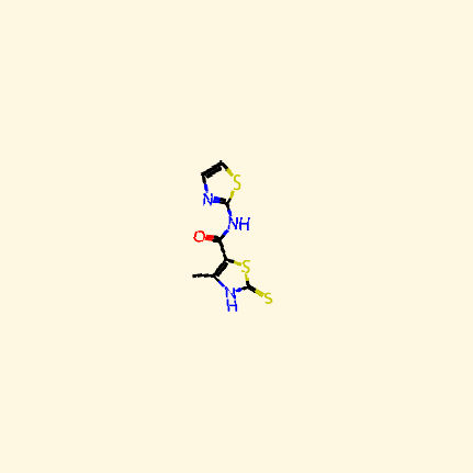 Cc1[nH]c(=S)sc1C(=O)Nc1nccs1